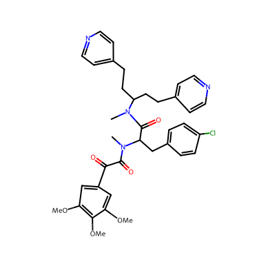 COc1cc(C(=O)C(=O)N(C)C(Cc2ccc(Cl)cc2)C(=O)N(C)C(CCc2ccncc2)CCc2ccncc2)cc(OC)c1OC